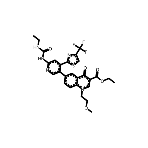 CCNC(=O)Nc1cc(-c2nc(C(F)(F)F)cs2)c(-c2ccc3c(c2)c(=O)c(C(=O)OCC)cn3CCOC)cn1